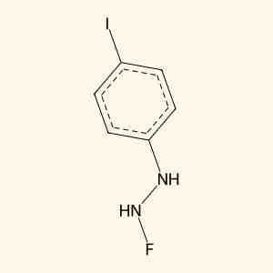 FNNc1ccc(I)cc1